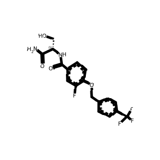 NC(=O)[C@H](CO)NC(=O)c1ccc(OCc2ccc(C(F)(F)F)cc2)c(F)c1